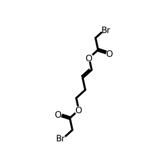 O=C(CBr)OC=CCCOC(=O)CBr